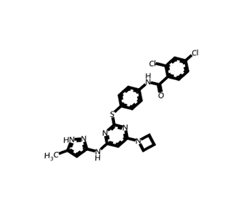 Cc1cc(Nc2cc(N3CCC3)nc(Sc3ccc(NC(=O)c4ccc(Cl)cc4Cl)cc3)n2)n[nH]1